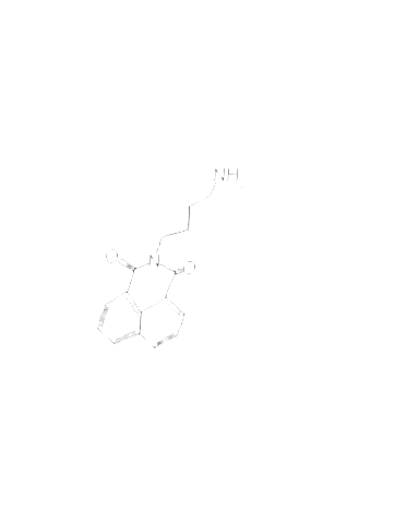 NCCCCN1C(=O)c2cccc3cccc(c23)C1=O